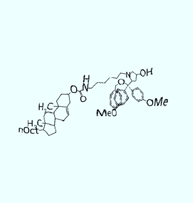 CCCCCCCCC1CCC2C3CC=C4CC(OC(=O)NCCCCCCN5CC(O)CC5C(OCc5ccccc5)(c5ccc(OC)cc5)c5ccc(OC)cc5)CCC4(C)C3CCC12C